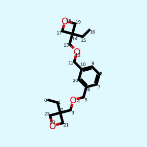 CCC1(COCc2cccc(COCC3(CC)COC3)c2)COC1